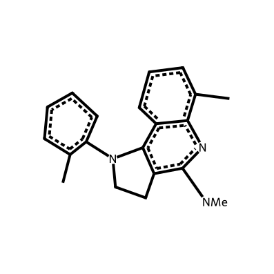 CNc1nc2c(C)cccc2c2c1CCN2c1ccccc1C